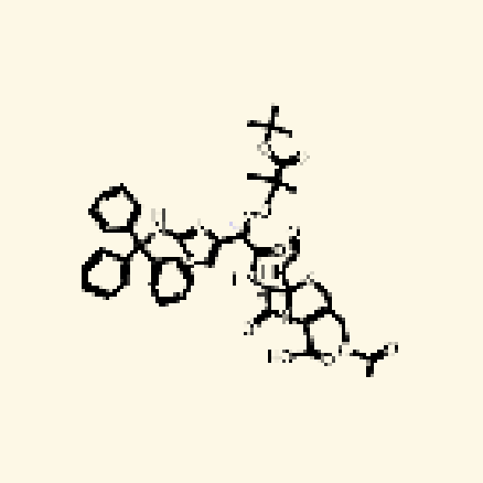 CC(=O)OCC1=C(C(=O)O)N2C(=O)[C@@H](NC(=O)/C(=N\OC(C)(C)C(=O)OC(C)(C)C)c3csc(NC(c4ccccc4)(c4ccccc4)c4ccccc4)n3)C2(NC=O)SC1